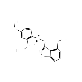 COc1ccc(S(=O)(=O)Nc2noc3cccc(OC)c23)c(OC)c1